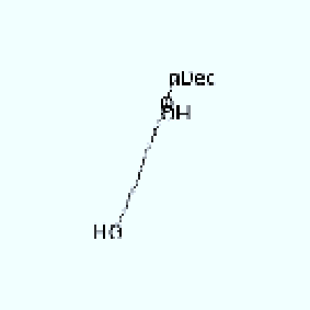 CCCCCCCCCCCCCCCCOCC(O)CCCCCCCCCCCCCCCCCCCCCCCCCCCCCCCCO